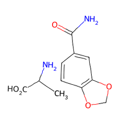 CC(N)C(=O)O.NC(=O)c1ccc2c(c1)OCO2